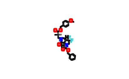 COc1ccc(COC(=O)C(C)(C)CN2C[C@@H]3[C@H](C2=O)N(C(=O)OCc2ccccc2)CC3(F)F)cc1